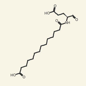 O=[C][C@H](CCC(=O)O)NC(=O)CCCCCCCCCCCCC(=O)O